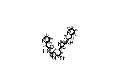 CC[C@@H](C[C@H](C)c1nnc(NC(=O)Cc2ccccn2)s1)c1nnc(NC(=O)Cc2ccccn2)s1